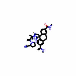 C=C(NC)c1ccc2c(c1)CCc1cc(C(=O)NC)ccc1C2(C[C@@H](C)NCC(=C)N1CCCC1C#N)C(=N)NC(C)C